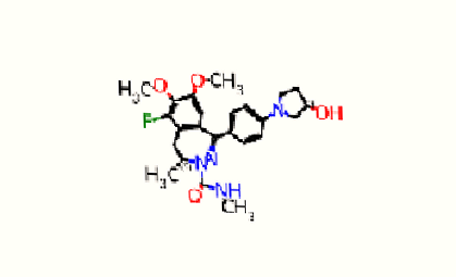 CNC(=O)N1N=C(c2ccc(N3CC[C@@H](O)C3)cc2)c2cc(OC)c(OC)c(F)c2C[C@@H]1C